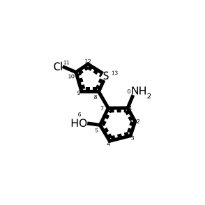 Nc1cccc(O)c1-c1cc(Cl)cs1